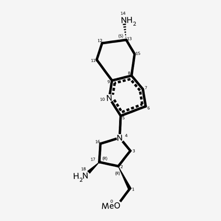 COC[C@@H]1CN(c2ccc3c(n2)CC[C@H](N)C3)C[C@@H]1N